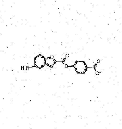 Nc1ccc2oc(C(=O)Oc3ccc([N+](=O)[O-])cc3)cc2c1